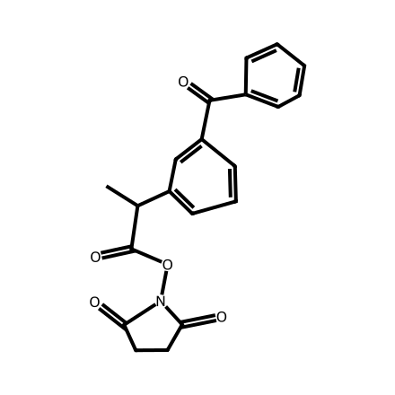 CC(C(=O)ON1C(=O)CCC1=O)c1cccc(C(=O)c2ccccc2)c1